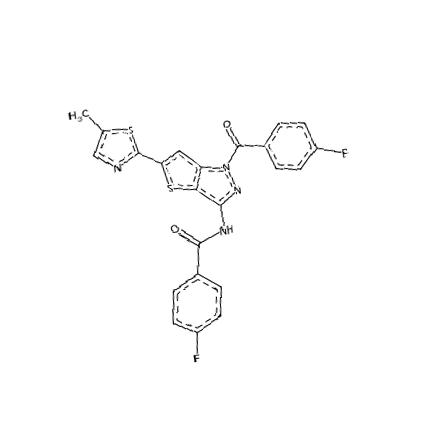 Cc1cnc(-c2cc3c(s2)c(NC(=O)c2ccc(F)cc2)nn3C(=O)c2ccc(F)cc2)s1